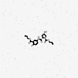 C=CCOC(=O)c1cc(NC(=O)[C@@H]2C[C@H](S)CN2C(=O)OCC=C)ccc1F